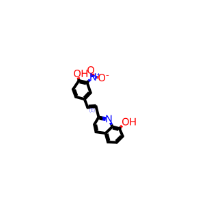 O=[N+]([O-])c1cc(/C=C/c2ccc3cccc(O)c3n2)ccc1O